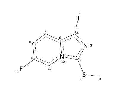 CSc1nc(I)c2ccc(F)cn12